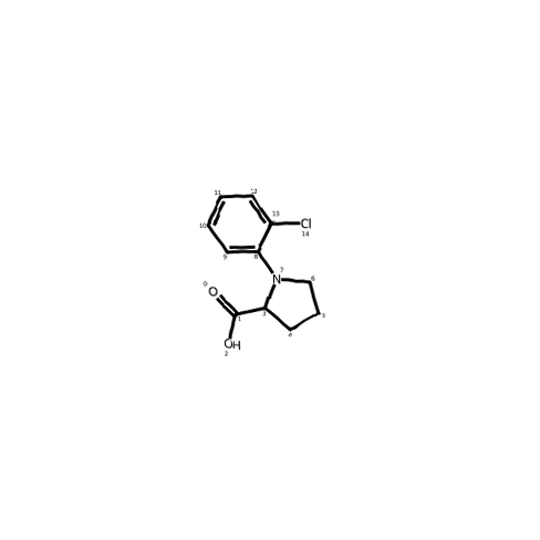 O=C(O)C1CCCN1c1ccccc1Cl